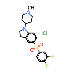 CN1CCC(N2CCc3cc(S(=O)(=O)c4ccc(F)c(F)c4)ccc32)CC1.Cl